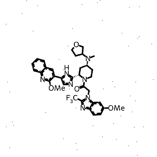 COc1ccc2nc(C(F)(F)F)n(CC(=O)N3CC[C@H](N(C)C4CCOC4)C[C@H]3c3ncc(-c4cc5ccccc5nc4OC)[nH]3)c2c1